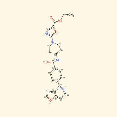 CCOC(=O)c1cnc(N2CCC(NC(=O)c3ccc(-c4nccc5occc45)cc3)CC2)o1